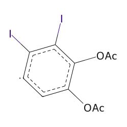 CC(=O)Oc1c[c]c(I)c(I)c1OC(C)=O